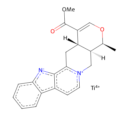 COC(=O)C1=CO[C@@H](C)[C@H]2C[n+]3ccc4c([n-]c5ccccc54)c3C[C@H]12.[Ti+4]